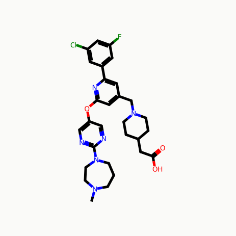 CN1CCCN(c2ncc(Oc3cc(CN4CCC(CC(=O)O)CC4)cc(-c4cc(F)cc(Cl)c4)n3)cn2)CC1